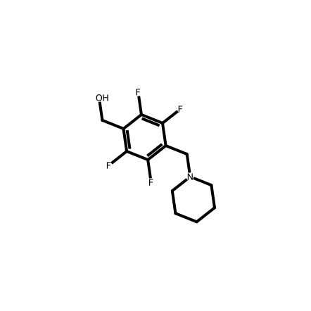 OCc1c(F)c(F)c(CN2CCCCC2)c(F)c1F